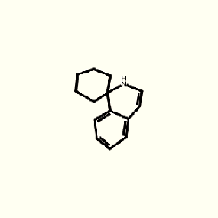 C1=Cc2ccccc2C2(CCCCC2)N1